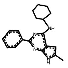 Cc1cc2c(NC3CCCCC3)nc(-c3ccccc3)nc2[nH]1